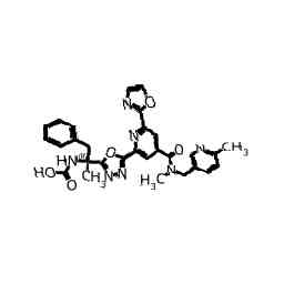 Cc1ccc(CN(C)C(=O)c2cc(-c3ncco3)nc(-c3nnc([C@@](C)(Cc4ccccc4)NC(=O)O)o3)c2)cn1